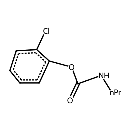 CCCNC(=O)Oc1ccccc1Cl